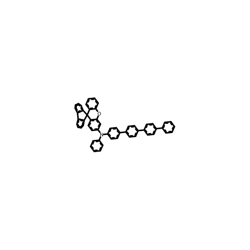 c1ccc(-c2ccc(-c3ccc(-c4ccc(N(c5ccccc5)c5ccc6c(c5)Oc5ccccc5C65c6ccccc6-c6ccccc65)cc4)cc3)cc2)cc1